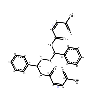 O=C(O)/C=C\C(=O)OC(SSC(OC(=O)/C=C\C(=O)O)c1ccccc1)c1ccccc1